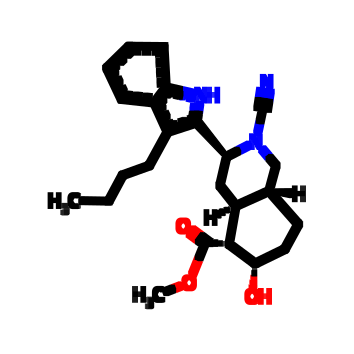 CCCCc1c([C@@H]2C[C@H]3[C@@H](CC[C@H](O)[C@@H]3C(=O)OC)CN2C#N)[nH]c2ccccc12